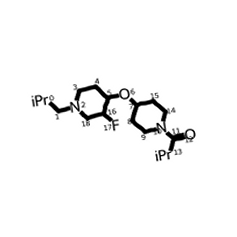 CC(C)CN1CCC(OC2CCN(C(=O)C(C)C)CC2)C(F)C1